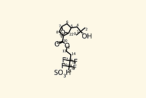 CC(C)(O)CC1CC2CC(C(=O)OCCC(F)(F)C(F)(F)S(=O)(=O)O)C1O2